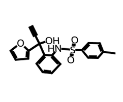 C#CC(O)(c1ccco1)c1ccccc1NS(=O)(=O)c1ccc(C)cc1